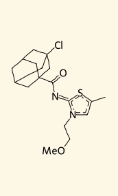 COCCn1cc(C)s/c1=N\C(=O)C12CC3CC(CC(Cl)(C3)C1)C2